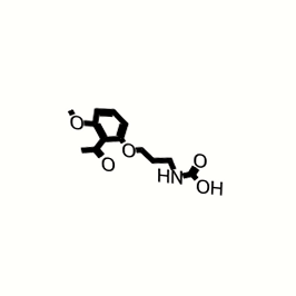 COc1cccc(OCCCNC(=O)O)c1C(C)=O